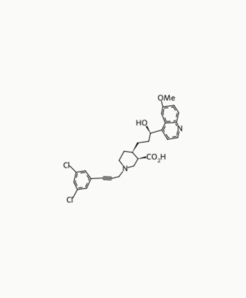 COc1ccc2nccc([C@H](O)CC[C@@H]3CCN(CC#Cc4cc(Cl)cc(Cl)c4)C[C@@H]3C(=O)O)c2c1